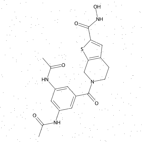 CC(=O)Nc1cc(NC(C)=O)cc(C(=O)N2CCc3cc(C(=O)NO)sc3C2)c1